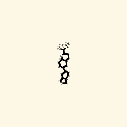 COC(OC)c1ccc2cc(-c3ccc4cocc4c3)ccc2n1